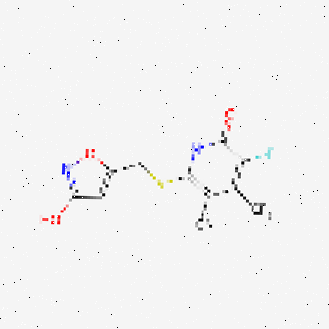 N#Cc1c(SCc2cc(O)no2)[nH]c(=O)c(F)c1C(F)(F)F